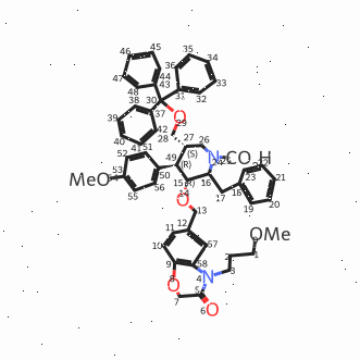 COCCCN1C(=O)COc2ccc(CO[C@H]3C(Cc4ccccc4)N(C(=O)O)C[C@@H](COC(c4ccccc4)(c4ccccc4)c4ccccc4)[C@@H]3c3ccc(OC)cc3)cc21